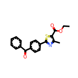 CCOC(=O)c1sc(-c2ccc(C(=O)c3ccccc3)cc2)nc1C